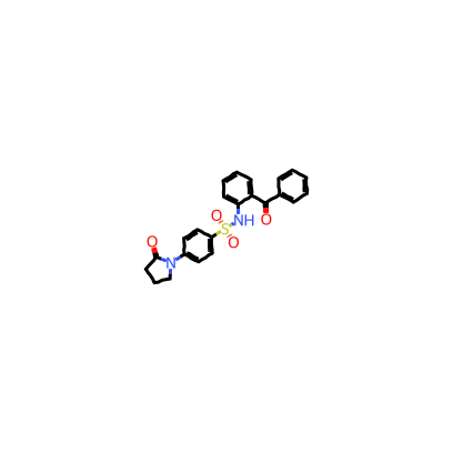 O=C(c1ccccc1)c1ccccc1NS(=O)(=O)c1ccc(N2CCCC2=O)cc1